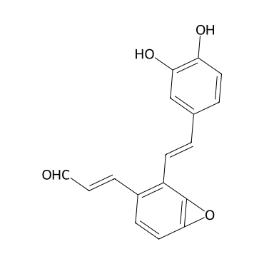 O=C/C=C/c1ccc2c(c1/C=C/c1ccc(O)c(O)c1)O2